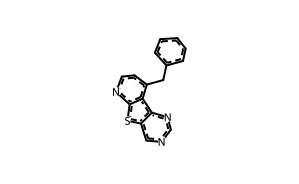 c1ccc(Cc2ccnc3sc4cncnc4c23)cc1